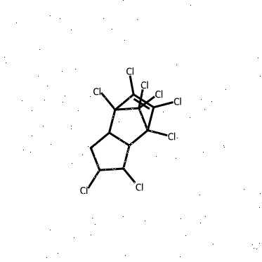 ClC1=C(Cl)C2(Cl)C3C(Cl)C(Cl)CC3C1(Cl)C2(Cl)Cl